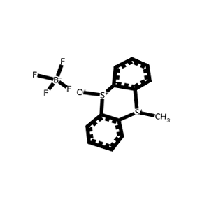 C[S+]1c2ccccc2[S+]([O-])c2ccccc21.F[B-](F)(F)F